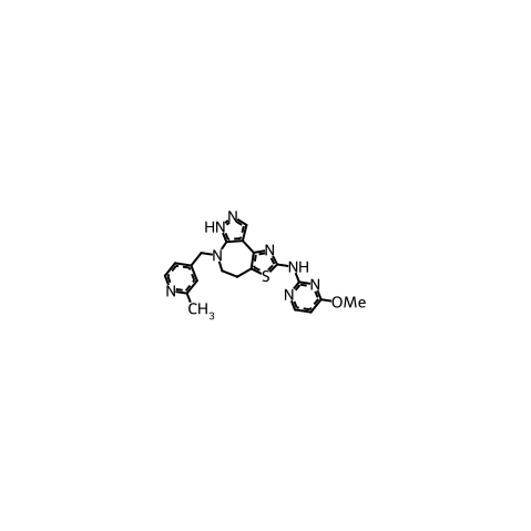 COc1ccnc(Nc2nc3c(s2)CCN(Cc2ccnc(C)c2)c2[nH]ncc2-3)n1